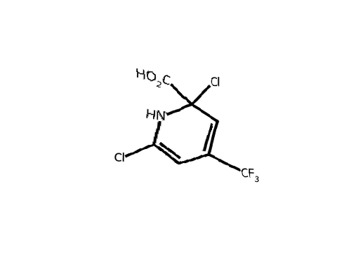 O=C(O)C1(Cl)C=C(C(F)(F)F)C=C(Cl)N1